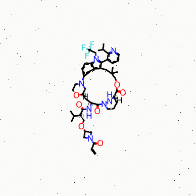 C=CC(=O)N1CC(OC[C@H](C(=O)N[C@H]2C[C@H]3CN(CCO3)c3ccc4c(c3)c(c(-c3cccnc3C(C)C)n4CC(F)(F)F)CC(C)(C)COC(=O)[C@@H]3CCCN(N3)C2=O)C(C)C)C1